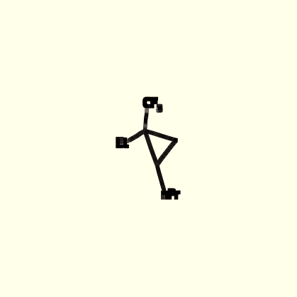 CCCC1CC1(CC)C(F)(F)F